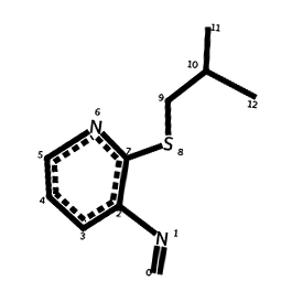 C=Nc1cccnc1SCC(C)C